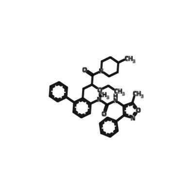 CCOC(Cc1c(-c2ccccc2)cccc1N(C)C(=O)Nc1c(-c2ccccc2)noc1C)C(=O)N1CCC(C)CC1